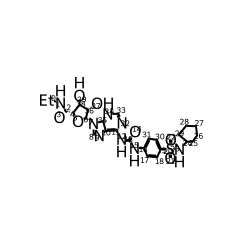 CCNC(=O)[C@H]1O[C@@H](n2cnc3c(NC(=O)Nc4ccc(S(=O)(=O)NC5CCCCC5)cc4)ncnc32)[C@@H](O)C1O